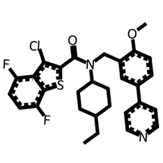 CCC1CCC(N(Cc2cc(-c3ccncc3)ccc2OC)C(=O)c2sc3c(F)ccc(F)c3c2Cl)CC1